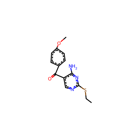 CCSc1ncc(C(=O)c2ccc(OC)cc2)c(N)n1